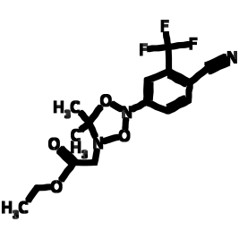 CCOC(=O)CN1ON(c2ccc(C#N)c(C(F)(F)F)c2)OC1(C)C